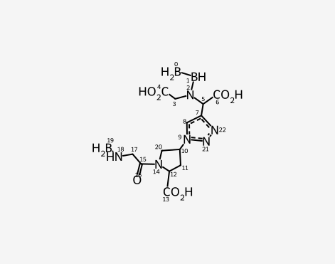 BBN(CC(=O)O)C(C(=O)O)c1cn(C2CC(C(=O)O)N(C(=O)CNB)C2)nn1